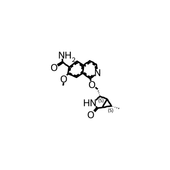 COc1cc2c(OC[C@H]3NC(=O)C4C3[C@@H]4C)nccc2cc1C(N)=O